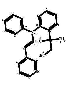 CC(C)(C)CC(C)(C)c1ccccc1N(C=Cc1ccccc1)c1ccccc1